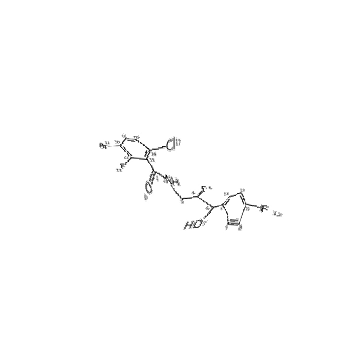 O=C(NCC(F)C(O)c1ccc(F)cc1)c1c(Cl)ccc(Br)c1F